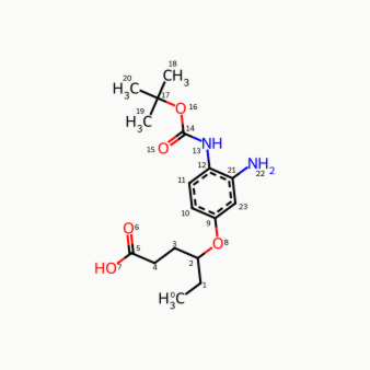 CCC(CCC(=O)O)Oc1ccc(NC(=O)OC(C)(C)C)c(N)c1